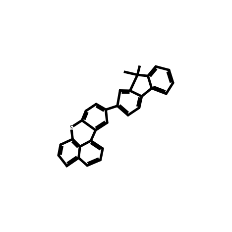 CC1(C)c2ccccc2-c2ccc(-c3ccc4c(c3)-c3cccc5cccc(c35)S4)cc21